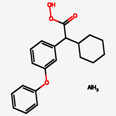 O=C(OO)C(c1cccc(Oc2ccccc2)c1)C1CCCCC1.[AlH3]